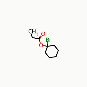 CCC(=O)OC1(Br)CCCCC1